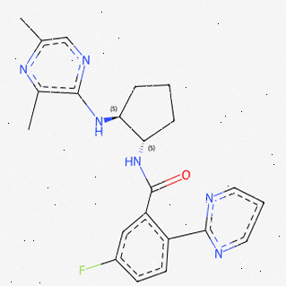 Cc1cnc(N[C@H]2CCC[C@@H]2NC(=O)c2cc(F)ccc2-c2ncccn2)c(C)n1